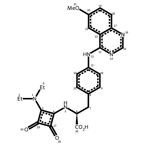 CCN(CC)c1c(N[C@@H](Cc2ccc(Nc3ncnc4ccc(OC)cc34)cc2)C(=O)O)c(=O)c1=O